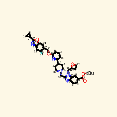 CC(C)(C)OC(=O)c1ccc2nc(CN3CCC(c4cccc(OCc5cc6oc(C7CC7)nc6cc5F)n4)CC3)n(CC3CCO3)c2c1